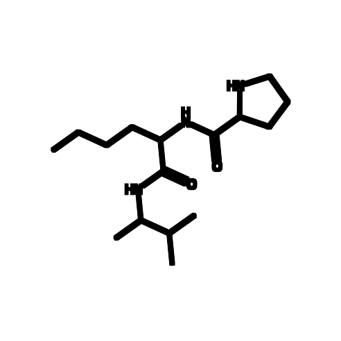 CCCCC(NC(=O)C1CCCN1)C(=O)NC(C)C(C)C